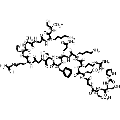 CC(C)C[C@H](NC(=O)[C@H](CCCNC(=N)N)NC(=O)CNC(=O)[C@H](CO)NC(=O)[C@H](Cc1ccccc1)NC(=O)[C@H](CCC(N)=O)NC(=O)[C@H](CCCCN)NC(=O)[C@H](CCCNC(=N)N)NC(=O)[C@H](CCC(=O)O)NC(=O)CNC(=O)[C@H](CC(=O)O)NC(=O)[C@H](CO)NC(=O)[C@@H]1CCCN1)C(=O)N[C@@H](C)C(=O)NCC(=O)N[C@@H](CCCCN)C(=O)N[C@@H](CO)C(=O)O